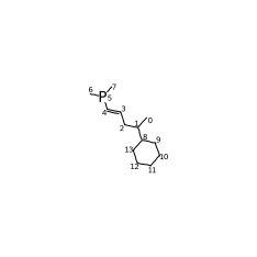 CC(CC=CP(C)C)C1CCCCC1